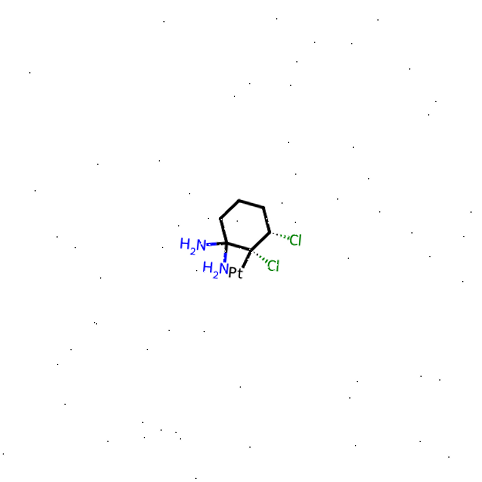 NC1(N)CCC[C@H](Cl)[C@@]1(Cl)[Pt]